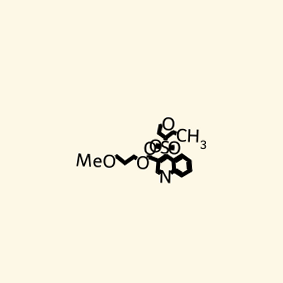 COCCCOC(=O)c1cnc2ccccc2c1S(=O)(=O)C1CCOC1C